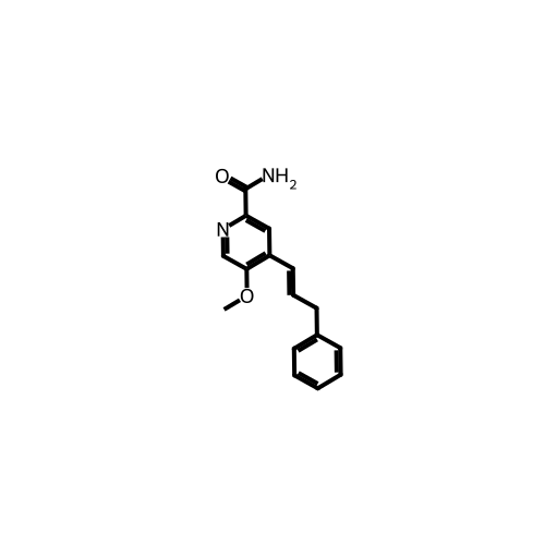 COc1cnc(C(N)=O)cc1/C=C/Cc1ccccc1